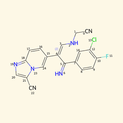 N#CCN/C=C(\C(=N)c1ccc(F)c(Cl)c1)c1ccc2ncc(C#N)n2c1